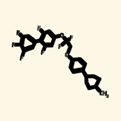 CC1CCC(c2ccc(OCC(F)(F)Oc3cc(F)c(-c4cc(F)c(F)c(F)c4)c(F)c3)cc2)CC1